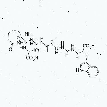 CC(C)C(NN(NNNNNNNNNNC(Cc1c[nH]c2ccccc12)C(=O)O)[C@]1(N)CCCCC(=O)N1)C(=O)O